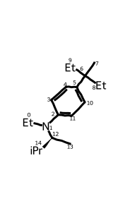 CCN(c1ccc(C(C)(CC)CC)cc1)[C@@H](C)C(C)C